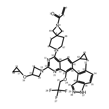 C=CC(=O)N1CC2(CCN(c3nc(N4CC(OC5CC5)C4)nc4c(OCC(F)(F)F)c(-c5c(C)ccc6[nH]ncc56)c(C5CC5)cc34)CC2)C1